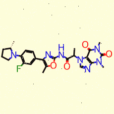 Cc1oc(NC(=O)C(C)n2cnc3c2c(=O)n(C)c(=O)n3C)nc1-c1ccc(N2CCC[C@@H]2C)c(F)c1